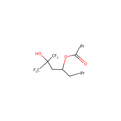 CC(C)CC(CC(O)(C(F)(F)F)C(F)(F)F)OC(=O)C(C)C